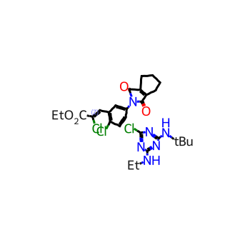 CCNc1nc(Cl)nc(NC(C)(C)C)n1.CCOC(=O)/C(Cl)=C/c1cc(N2C(=O)C3=C(CCCC3)C2=O)ccc1Cl